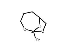 CC(C)[Si]12OCCCC(CO1)O2